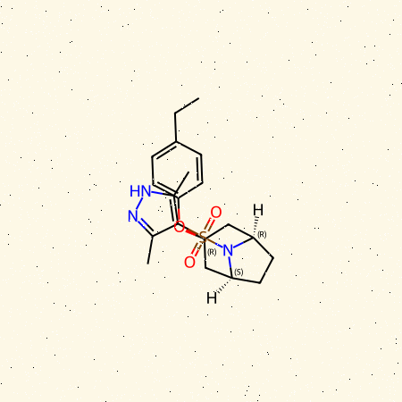 CCc1ccc(O[C@H]2C[C@H]3CC[C@@H](C2)N3S(=O)(=O)c2c(C)n[nH]c2C)cc1